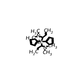 C=C[CH](N(C)C)[Zr]([C]1=CC=CC1)([C]1=CC=CC1)[CH](C=C)N(C)C